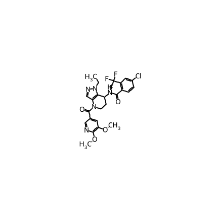 CCn1ncc2c1C(NC(=O)c1ccc(Cl)cc1C(F)(F)F)CCN2C(=O)c1cnc(OC)c(OC)c1